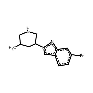 CC1CNCC(n2cc3ccc(Br)cc3n2)C1